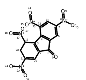 O=C1C2=C(c3c1cc([N+](=O)[O-])cc3[N+](=O)[O-])C([N+](=O)[O-])CC([N+](=O)[O-])=C2